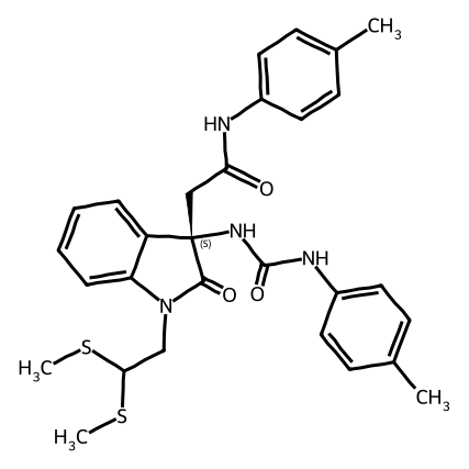 CSC(CN1C(=O)[C@@](CC(=O)Nc2ccc(C)cc2)(NC(=O)Nc2ccc(C)cc2)c2ccccc21)SC